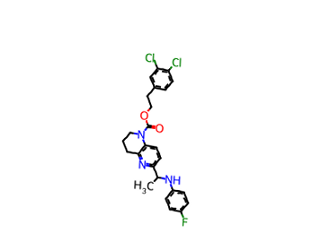 CC(Nc1ccc(F)cc1)c1ccc2c(n1)CCCN2C(=O)OCCc1ccc(Cl)c(Cl)c1